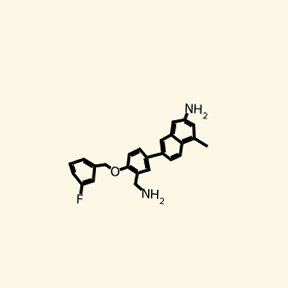 Cc1cc(N)cc2cc(-c3ccc(OCc4cccc(F)c4)c(CN)c3)ccc12